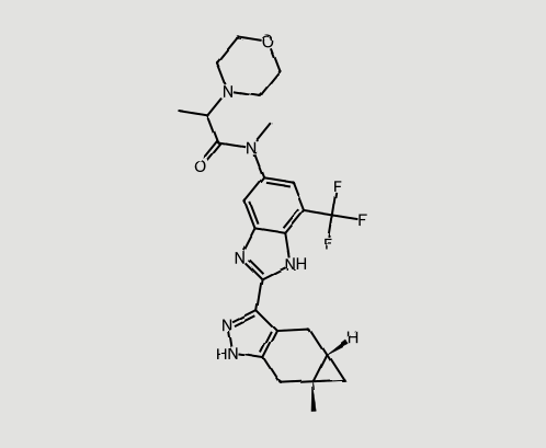 CC(C(=O)N(C)c1cc(C(F)(F)F)c2[nH]c(-c3n[nH]c4c3C[C@@H]3C[C@]3(C)C4)nc2c1)N1CCOCC1